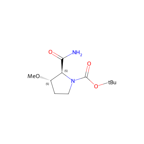 CO[C@H]1CCN(C(=O)OC(C)(C)C)[C@@H]1C(N)=O